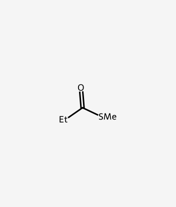 CCC(=O)SC